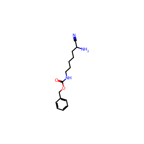 N#CC(N)CCCCCNC(=O)OCc1ccccc1